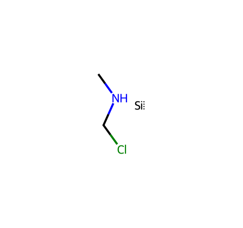 CNCCl.[Si]